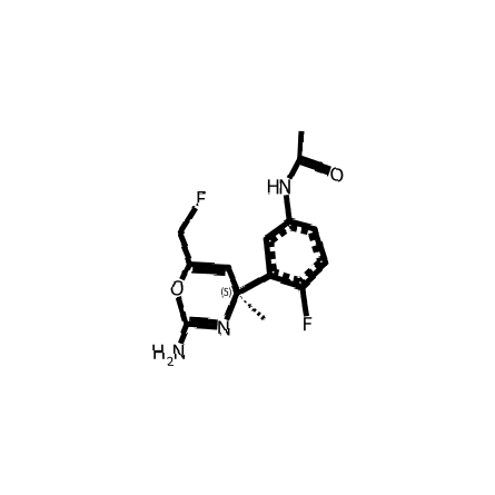 CC(=O)Nc1ccc(F)c([C@]2(C)C=C(CF)OC(N)=N2)c1